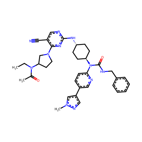 CCN(C(C)=O)C1CCN(c2nc(N[C@H]3CC[C@H](N(C(=O)NCc4ccccc4)c4ccc(-c5cnn(C)c5)cn4)CC3)ncc2C#N)C1